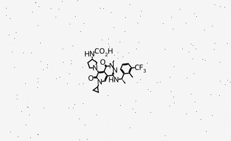 Cc1c([C@@H](C)Nc2nn(C)c(=O)c3c(N4CC[C@@H](NC(=O)O)C4)c(=O)n(C4CC4)cc23)cccc1C(F)(F)F